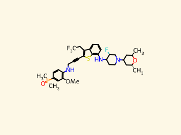 COc1cc(P(C)(C)=O)ccc1NCC#Cc1sc2c(N[C@@H]3CCN(C4C[C@@H](C)O[C@H](C)C4)C[C@@H]3F)cccc2c1CC(F)(F)F